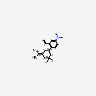 C=Cc1cc(N(C)C)ccc1C1CC(=C(C#N)C#N)CC(C)(C)C1